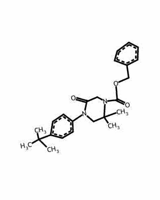 CC(C)(C)c1ccc(N2CC(C)(C)N(C(=O)OCc3ccccc3)CC2=O)cc1